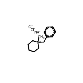 C[N+]1(Cc2ccccc2)CCCCC1.[Cl-].[Cl-].[Na+]